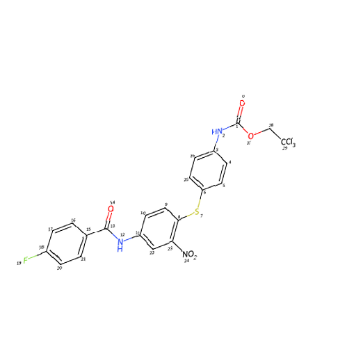 O=C(Nc1ccc(Sc2ccc(NC(=O)c3ccc(F)cc3)cc2[N+](=O)[O-])cc1)OCC(Cl)(Cl)Cl